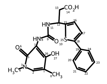 Cc1cn(C)c(=O)c(NC(=O)NC(CC(=O)O)c2ccc(-c3ccccc3)s2)c1O